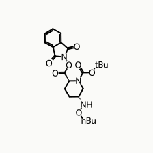 CCCCON[C@@H]1CC[C@@H](C(=O)ON2C(=O)c3ccccc3C2=O)N(C(=O)OC(C)(C)C)C1